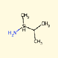 CC(C)[SiH](C)N